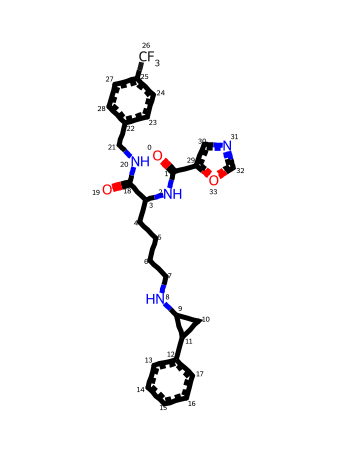 O=C(NC(CCCCNC1CC1c1ccccc1)C(=O)NCc1ccc(C(F)(F)F)cc1)c1cnco1